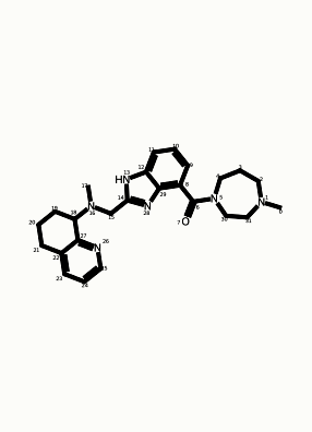 CN1CCCN(C(=O)c2cccc3[nH]c(CN(C)C4CCCc5cccnc54)nc23)CC1